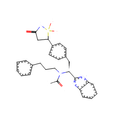 O=C1CC(c2ccc(C[C@@H](c3nc4ccccc4[nH]3)N(CCCc3ccccc3)C(=O)C(F)(F)F)cc2)S(O)(O)N1